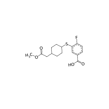 COC(=O)CC1CCC(Sc2cc(C(=O)O)ccc2F)CC1